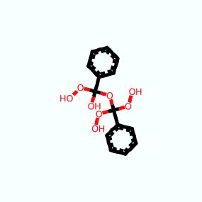 OOC(O)(OC(OO)(OO)c1ccccc1)c1ccccc1